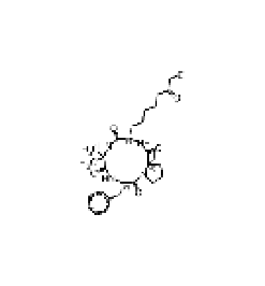 CC1(C)NC(=O)[C@H](CCCCCC(=O)CCl)NC(=O)[C@H]2CCCN2C(=O)[C@H](Cc2ccccc2)NC1=O